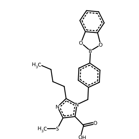 CCCCc1nc(SC)c(C(=O)O)n1Cc1ccc(B2Oc3ccccc3O2)cc1